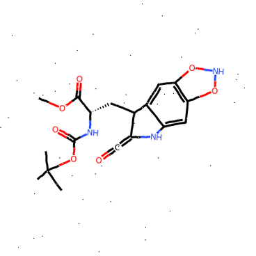 COC(=O)[C@H](CC1C(=C=O)Nc2cc3c(cc21)ONO3)NC(=O)OC(C)(C)C